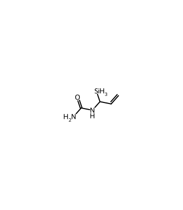 C=CC([SiH3])NC(N)=O